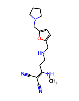 CNC(CCNCc1ccc(CN2CCCC2)o1)=C(C#N)C#N